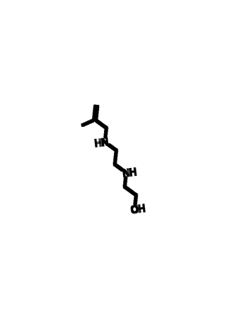 C=C(C)CNCCNCCO